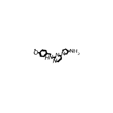 COc1ccc(CNc2nccc(N3CC[C@@H](N)C3)n2)cc1